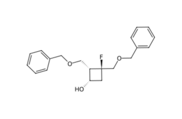 O[C@H]1C[C@@](F)(COCc2ccccc2)[C@H]1COCc1ccccc1